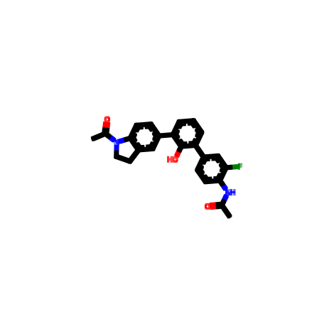 CC(=O)Nc1ccc(-c2cccc(-c3ccc4c(c3)CCN4C(C)=O)c2O)cc1F